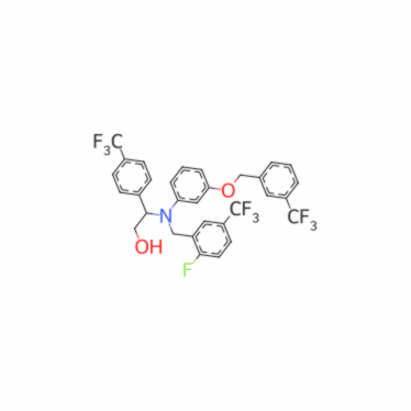 OCC(c1ccc(C(F)(F)F)cc1)N(Cc1cc(C(F)(F)F)ccc1F)c1cccc(OCc2cccc(C(F)(F)F)c2)c1